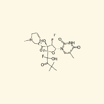 Cc1cn([C@@H]2O[C@](F)(C(O)(F)C(=O)C(C)(C)C)[C@](O)(C(=O)[C+]3C=CCN(C)C3)C2F)c(=O)[nH]c1=O.[I-]